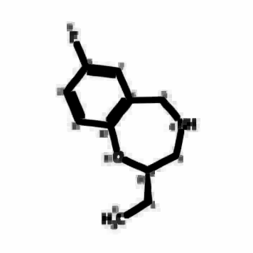 CC[C@@H]1CNCc2cc(F)ccc2O1